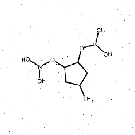 CC1CC(ON(O)O)C(ON(O)O)C1